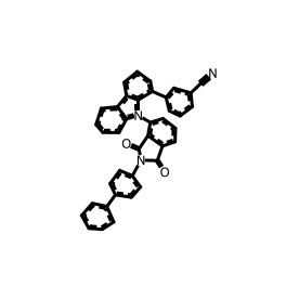 N#Cc1cccc(-c2cccc3c4ccccc4n(-c4cccc5c4C(=O)N(c4ccc(-c6ccccc6)cc4)C5=O)c23)c1